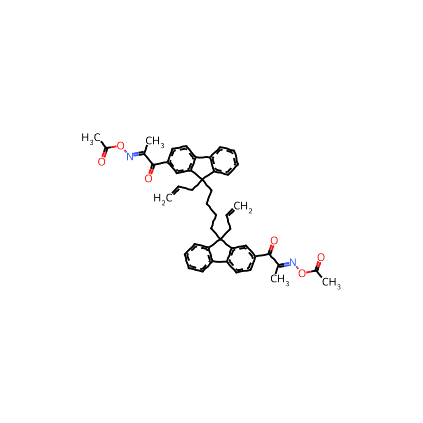 C=CCC1(CCCCC2(CC=C)c3ccccc3-c3ccc(C(=O)/C(C)=N/OC(C)=O)cc32)c2ccccc2-c2ccc(C(=O)/C(C)=N/OC(C)=O)cc21